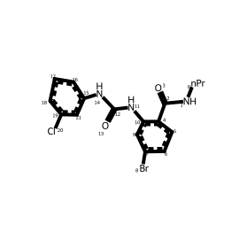 CCCNC(=O)c1ccc(Br)cc1NC(=O)Nc1cccc(Cl)c1